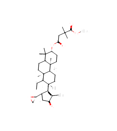 CC(C)C1=C2[C@H]3CC[C@@H]4[C@@]5(C)CC[C@H](OC(=O)CC(C)(C)C(=O)OC(C)(C)C)C(C)(C)[C@]5(C)CC[C@@]4(C)[C@]3(C)CC[C@@]2([C@H]2CO2)CC1=O